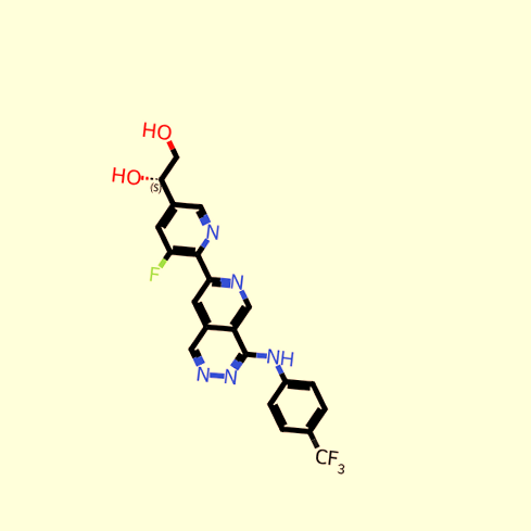 OC[C@@H](O)c1cnc(-c2cc3cnnc(Nc4ccc(C(F)(F)F)cc4)c3cn2)c(F)c1